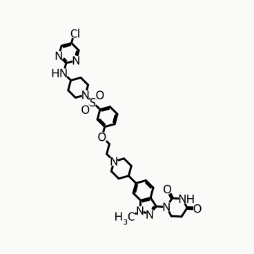 Cn1nc(N2CCC(=O)NC2=O)c2ccc(C3CCN(CCOc4cccc(S(=O)(=O)N5CCC(Nc6ncc(Cl)cn6)CC5)c4)CC3)cc21